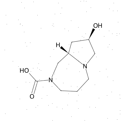 O=C(O)N1CCCN2C[C@H](O)C[C@H]2C1